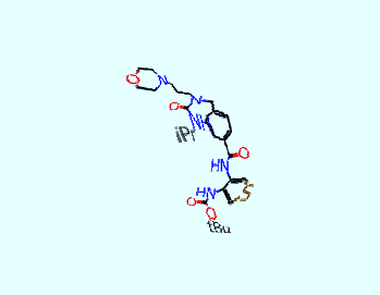 CC(C)NC(=O)N(CCCN1CCOCC1)Cc1ccc(C(=O)Nc2cscc2NC(=O)OC(C)(C)C)cc1